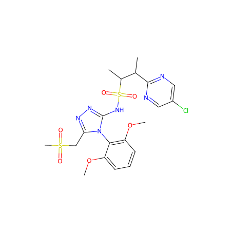 COc1cccc(OC)c1-n1c(CS(C)(=O)=O)nnc1NS(=O)(=O)C(C)C(C)c1ncc(Cl)cn1